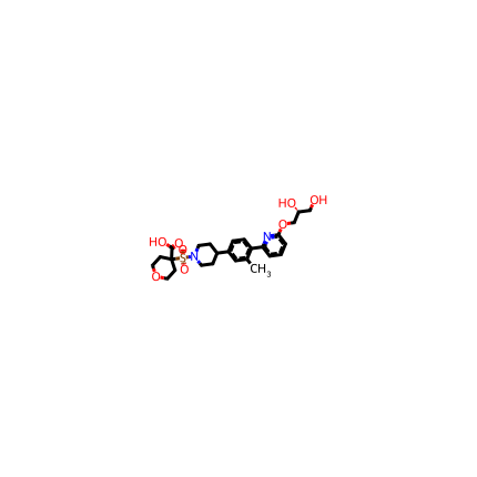 Cc1cc(C2CCN(S(=O)(=O)C3(C(=O)O)CCOCC3)CC2)ccc1-c1cccc(OC[C@H](O)CO)n1